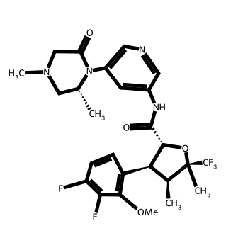 COc1c([C@H]2[C@H](C(=O)Nc3cncc(N4C(=O)CN(C)C[C@H]4C)c3)O[C@@](C)(C(F)(F)F)[C@H]2C)ccc(F)c1F